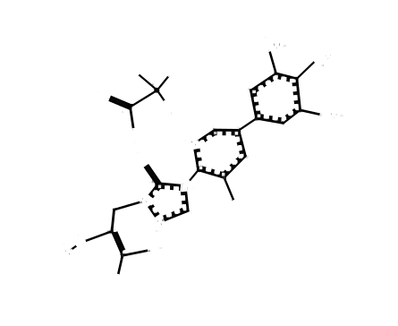 COc1cc(-c2cnc(-n3cnn(CC(CN)=C(F)F)c3=O)c(C)c2)cc(OC)c1OC.O=C(O)C(F)(F)F